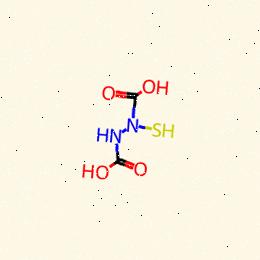 O=C(O)NN(S)C(=O)O